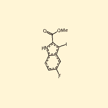 COC(=O)c1[nH]c2ccc(F)cc2c1I